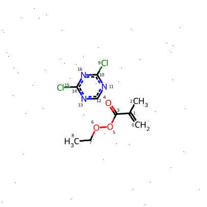 C=C(C)C(=O)OOCC.Clc1ncnc(Cl)n1